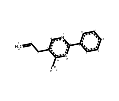 C=CCc1cnc(-c2ccccc2)nc1C(F)(F)F